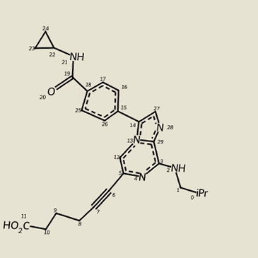 CC(C)CNc1nc(C#CCCCC(=O)O)cn2c(-c3ccc(C(=O)NC4CC4)cc3)cnc12